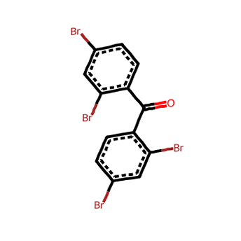 O=C(c1ccc(Br)cc1Br)c1ccc(Br)cc1Br